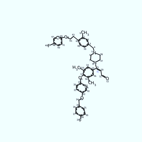 Cc1cc(CN2CCN(/C(=C/C=O)c3cc(C)c(Oc4ccc(OCc5ccc(F)cc5)cn4)c(C)c3)CC2)ccc1CCOc1ccc(F)cc1